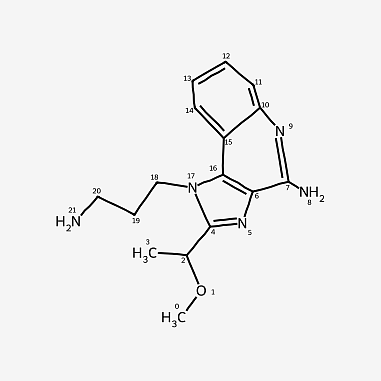 COC(C)c1nc2c(N)nc3ccccc3c2n1CCCN